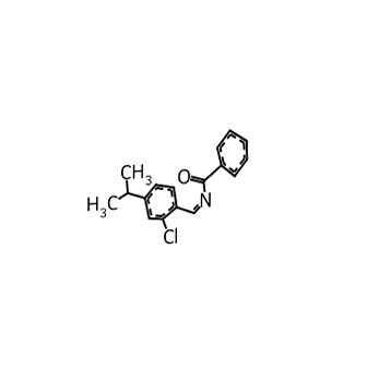 CC(C)c1ccc(/C=N\C(=O)c2ccccc2)c(Cl)c1